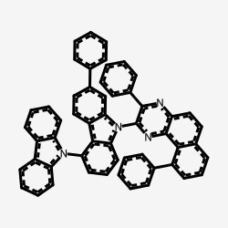 c1ccc(-c2ccc3c4c(-n5c6ccccc6c6ccccc65)cccc4n(-c4nc5c(ccc6cccc(-c7ccccc7)c65)nc4-c4ccccc4)c3c2)cc1